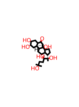 CC(C)(O)CCC(O)C(C)(O)[C@H]1CC[C@@]2(O)C3=CC(=O)C4C[C@@H](O)[C@@H](O)C[C@]4(C)[C@H]3CC[C@]12C